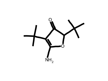 CC(C)(C)C1=C(N)OC(C(C)(C)C)C1=O